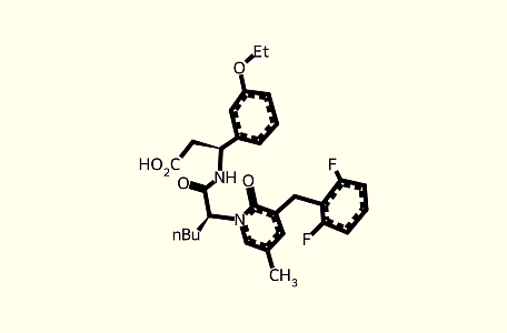 CCCC[C@@H](C(=O)N[C@@H](CC(=O)O)c1cccc(OCC)c1)n1cc(C)cc(Cc2c(F)cccc2F)c1=O